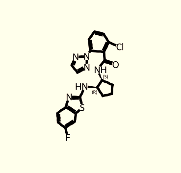 O=C(N[C@H]1CCC[C@H]1Nc1nc2ccc(F)cc2s1)c1c(Cl)cccc1-n1nccn1